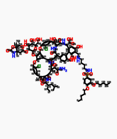 CCCCCOc1ccc(S(=O)(=O)NCCCCNCc2c(O)cc3c(c2O)-c2cc(ccc2O)[C@H]2CC(=O)[C@@H]4NC(=O)[C@H](CC(N)=O)CC(=O)[C@H](NC(=O)[C@H](CC)CC(C)C)[C@H](O)c5ccc(c(Cl)c5)Oc5cc4cc(c5O[C@@H]4O[C@H](CO)[C@@H](O)[C@H](O)[C@H]4O[C@H]4C[C@]5(C)NC(=O)O[C@@H]5[C@H](C)O4)Oc4ccc(cc4Cl)[C@@H](O)[C@H](NC2=O)C(=O)N[C@@H]3C(=O)O)cc1OCCCCC